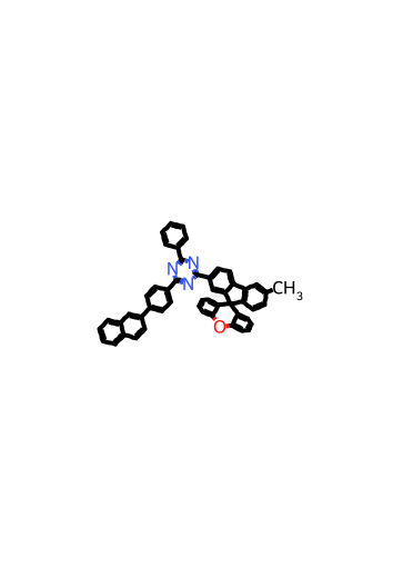 Cc1ccc2c(c1)-c1ccc(-c3nc(-c4ccccc4)nc(-c4ccc(-c5ccc6ccccc6c5)cc4)n3)cc1C21c2ccccc2Oc2ccccc21